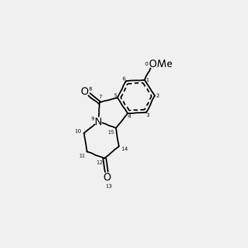 COc1ccc2c(c1)C(=O)N1CCC(=O)CC21